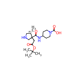 C[C@H]1CNC[C@@]1(CC(=O)OC(C)(C)C)C(=O)NC1CCN(C(=O)O)CC1